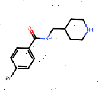 CC(C)c1ccc(C(=O)NCC2CCNCC2)cc1